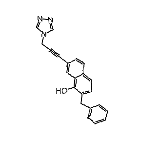 Oc1c(Cc2ccccc2)ccc2ccc(C#CCn3cnnc3)cc12